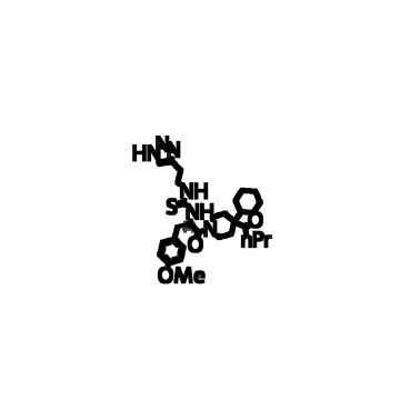 CCCC(=O)C1(C2CCCCC2)CCN(C(=O)[C@@H](Cc2ccc(OC)cc2)NC(=S)NCCc2c[nH]nn2)CC1